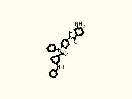 Nc1cccc(C(=O)Nc2ccc(N(C(=O)c3cccc(Nc4ccccc4)c3)c3ccccc3)cc2)c1